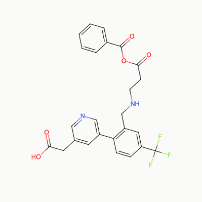 O=C(O)Cc1cncc(-c2ccc(C(F)(F)F)cc2CNCCC(=O)OC(=O)c2ccccc2)c1